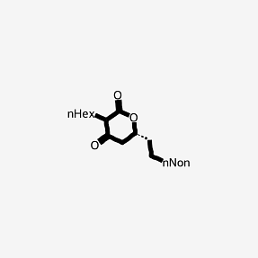 CCCCCCCCCCC[C@@H]1CC(=O)C(CCCCCC)C(=O)O1